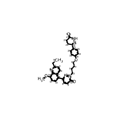 CCc1ccc2c(-c3ccc(=O)n(CCCCOc4ccc(C5=NNC(=O)CC5)cc4)n3)ccc(OC)c2n1